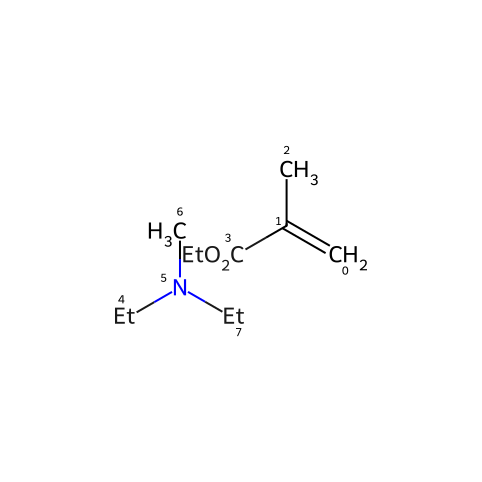 C=C(C)C(=O)OCC.CCN(C)CC